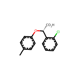 Cc1ccc(O[C@H](C(=O)O)c2ccccc2Cl)cc1